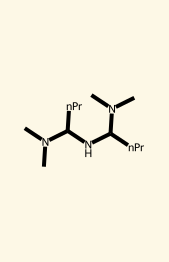 CCCC(NC(CCC)N(C)C)N(C)C